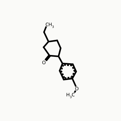 CCC1CCC(c2ccc(OC)cc2)C(=O)C1